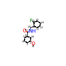 COc1cccc(C(=O)NCc2ccccc2F)c1